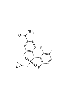 Cc1cc(C(N)=O)ncc1C(c1c(F)ccc(F)c1F)S(=O)(=O)CC1CC1